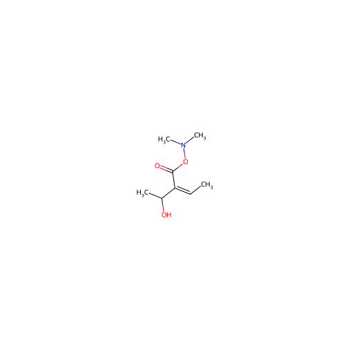 CC=C(C(=O)ON(C)C)C(C)O